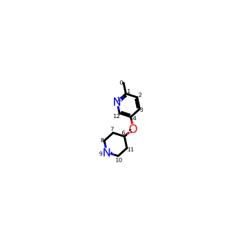 Cc1ccc(OC2CC[N]CC2)cn1